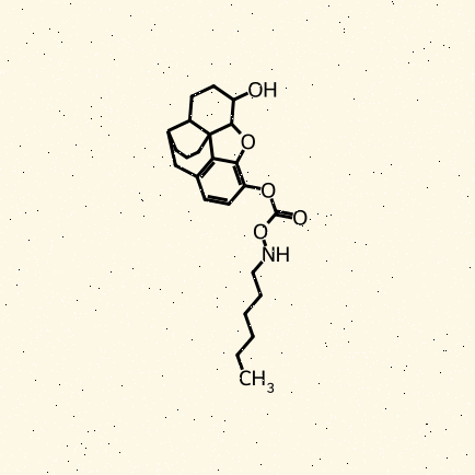 CCCCCCNOC(=O)Oc1ccc2c3c1OC1C(O)CCC4C(CCCC341)C2